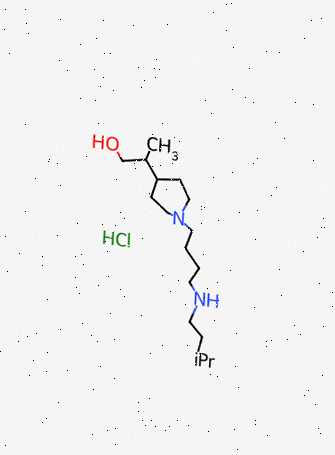 CC(C)CCNCCCCN1CCC(C(C)CO)CC1.Cl